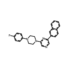 Fc1ccc(N2CCN(c3cncc(-c4ccc5ccccc5c4)n3)CC2)cc1